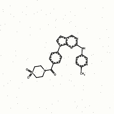 Cc1ccc(Nc2ncc3ccn(-c4ccc(C(=O)N5CCS(=O)(=O)CC5)cc4)c3n2)cn1